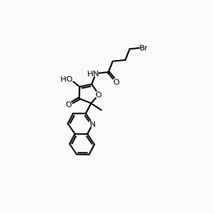 CC1(c2ccc3ccccc3n2)OC(NC(=O)CCCBr)=C(O)C1=O